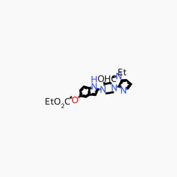 CCOC(=O)COc1ccc2[nH]c(N3CCN(c4ncccc4N(C)CC)CC3C=O)cc2c1